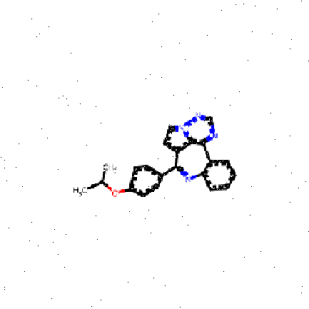 CC(C)Oc1ccc(C2=Nc3ccccc3-c3ncnn4ccc2c34)cc1